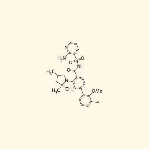 COc1c(F)cccc1-c1ccc(C(=O)NS(=O)(=O)c2cccnc2N)c(N2CC(C)CC2(C)C)n1